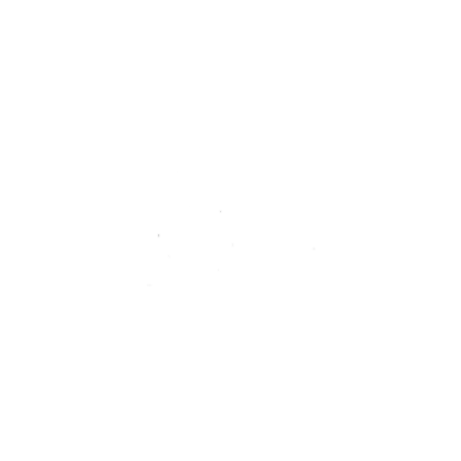 CCCc1cc([C]=O)cc2ccccc12